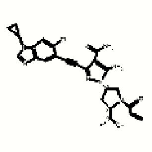 C=CC(=O)N1C[C@@H](n2nc(C#Cc3cc4ncn(C5CC5)c4cc3Cl)c(C(N)=O)c2N)C[C@@H]1[C@@H](C)O